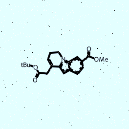 COC(=O)c1ccc2cc3n(c2c1)CCC=C3CC(=O)OC(C)(C)C